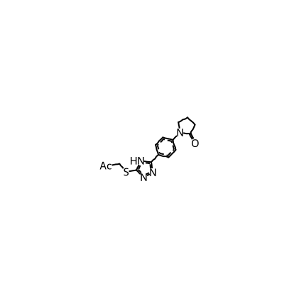 CC(=O)CSc1nnc(-c2ccc(N3CCCC3=O)cc2)[nH]1